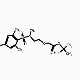 Cc1cc(C)c(S(=O)(=O)N(C)CCOCC(=O)OC(C)(C)C)c(C)c1